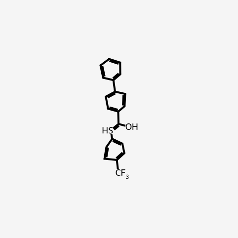 OC(=[SH]c1ccc(C(F)(F)F)cc1)c1ccc(-c2ccccc2)cc1